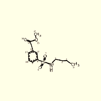 CCCCNS(=O)(=O)c1cccc(C(=O)OC)c1